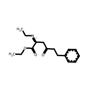 CC/N=C(/CC(=O)CCc1ccccc1)C(=O)OCC